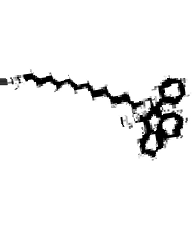 CCCCCCCCCCCCCPC(c1ccccc1)(c1ccccc1)C(C)c1ccccc1